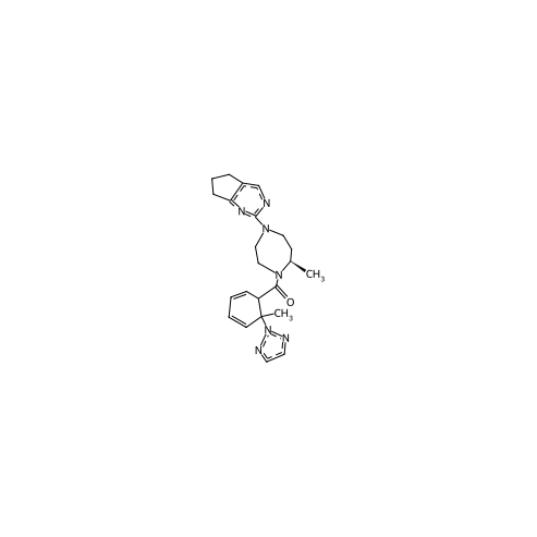 C[C@@H]1CCN(c2ncc3c(n2)CCC3)CCN1C(=O)C1C=CC=CC1(C)n1nccn1